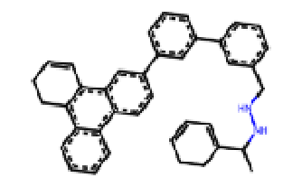 CC(NNCc1cccc(-c2cccc(-c3ccc4c(c3)c3c(c5ccccc54)CCC=C3)c2)c1)C1=CC=CCC1